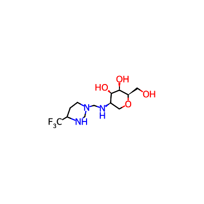 OC[C@H]1OC[C@@H](NCN2CCC(C(F)(F)F)NC2)[C@@H](O)[C@H]1O